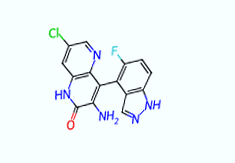 Nc1c(-c2c(F)ccc3[nH]ncc23)c2ncc(Cl)cc2[nH]c1=O